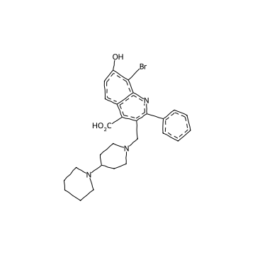 O=C(O)c1c(CN2CCC(N3CCCCC3)CC2)c(-c2ccccc2)nc2c(Br)c(O)ccc12